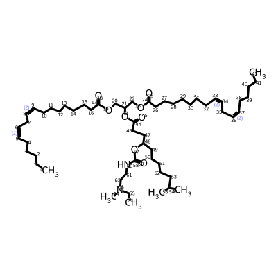 CCCCC/C=C\C/C=C\CCCCCCCC(=O)OCC(COC(=O)CCCCCCC/C=C\C/C=C\CCCCC)OC(=O)CCC(CCCCCC(C)C)OC(=O)NCCN(C)CC